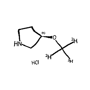 Cl.[2H]C([2H])([2H])O[C@@H]1CCNC1